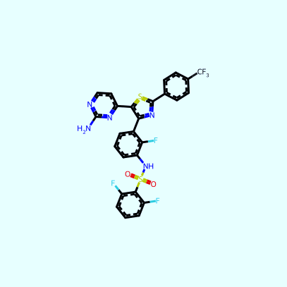 Nc1nccc(-c2sc(-c3ccc(C(F)(F)F)cc3)nc2-c2cccc(NS(=O)(=O)c3c(F)cccc3F)c2F)n1